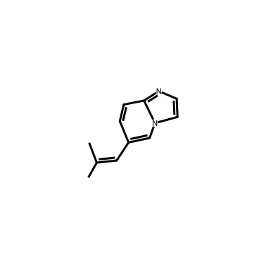 CC(C)=Cc1ccc2nccn2c1